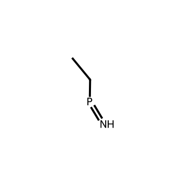 CCP=N